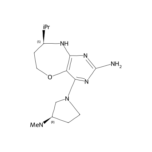 CN[C@@H]1CCN(c2nc(N)nc3c2OCC[C@@H](C(C)C)N3)C1